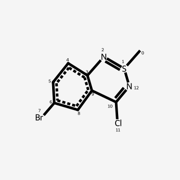 CS1=Nc2ccc(Br)cc2C(Cl)=N1